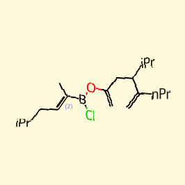 C=C(CC(C(=C)CCC)C(C)C)OB(Cl)/C(C)=C/CC(C)C